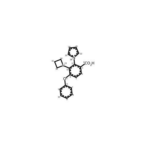 O=C(O)c1ccc(Oc2ccccc2)c(N2CCC2)c1-n1cccc1